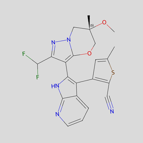 CO[C@]1(C)COc2c(-c3[nH]c4ncccc4c3-c3cc(C)sc3C#N)c(C(F)F)nn2C1